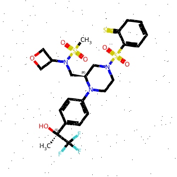 C[C@](O)(c1ccc(N2CCN(S(=O)(=O)C3=CC=CCC3=S)C[C@@H]2CN(C2COC2)S(C)(=O)=O)cc1)C(F)(F)F